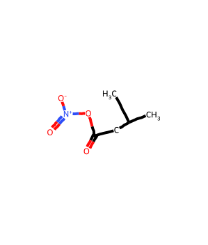 CC(C)CC(=O)O[N+](=O)[O-]